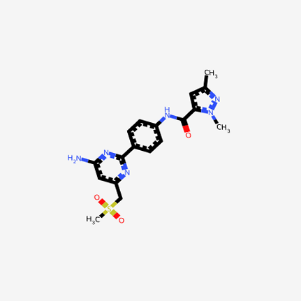 Cc1cc(C(=O)Nc2ccc(-c3nc(N)cc(CS(C)(=O)=O)n3)cc2)n(C)n1